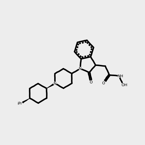 CC(C)[C@H]1CC[C@@H](N2CCC(N3C(=O)C(CC(=O)NO)c4ccccc43)CC2)CC1